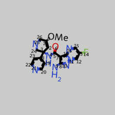 COC1=CC(NC(=O)c2c(N)nn3cc(F)cnc23)(c2ccncc2)CN=C1